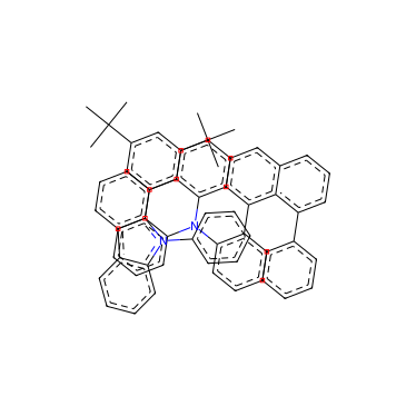 CC(C)(C)c1cc(-c2ccccc2N(c2ccccc2-c2cccc3cccc(-c4ccccc4)c23)c2ccccc2-c2cccc3c4ccccc4n(-c4ccccc4)c23)cc(C(C)(C)C)c1